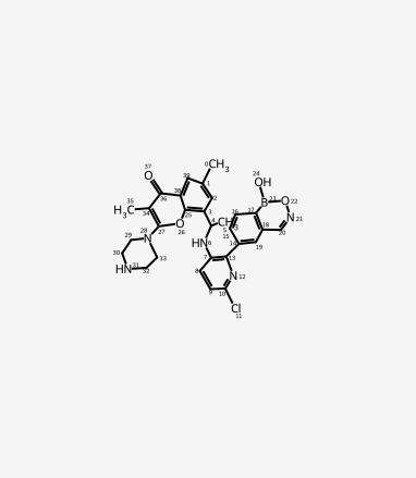 Cc1cc(C(C)Nc2ccc(Cl)nc2-c2ccc3c(c2)C=NOB3O)c2oc(N3CCNCC3)c(C)c(=O)c2c1